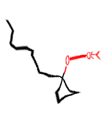 CCCCC1(OO)CC1